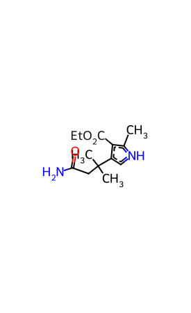 CCOC(=O)c1c(C(C)(C)CC(N)=O)c[nH]c1C